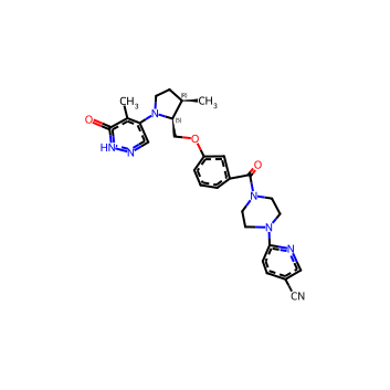 Cc1c(N2CC[C@@H](C)[C@H]2COc2cccc(C(=O)N3CCN(c4ccc(C#N)cn4)CC3)c2)cn[nH]c1=O